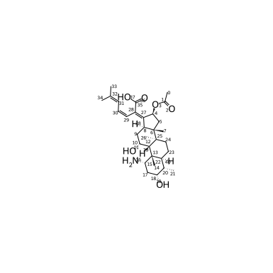 CC(=O)O[C@H]1C[C@@]2(C)[C@@H](C[C@@H](O)[C@H]3[C@@]4(C)[C@@H](N)C[C@@H](O)[C@@H](C)[C@@H]4CC[C@@]32C)/C1=C(\C=C/C=C(C)C)C(=O)O